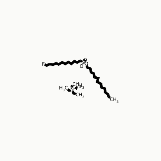 CCCCCCCCCCCCCCOS(=O)(=O)CCCCCCCCCCCCF.CC[N+](CC)(CC)CC